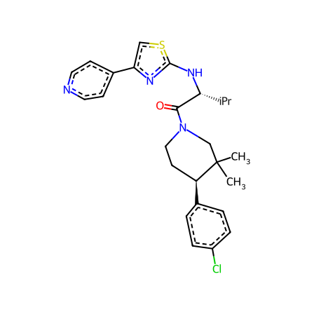 CC(C)[C@@H](Nc1nc(-c2ccncc2)cs1)C(=O)N1CC[C@H](c2ccc(Cl)cc2)C(C)(C)C1